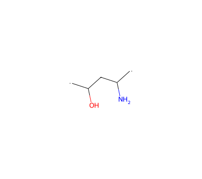 [CH2]C(N)CC([CH2])O